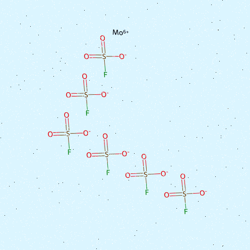 O=S(=O)([O-])F.O=S(=O)([O-])F.O=S(=O)([O-])F.O=S(=O)([O-])F.O=S(=O)([O-])F.O=S(=O)([O-])F.[Mo+6]